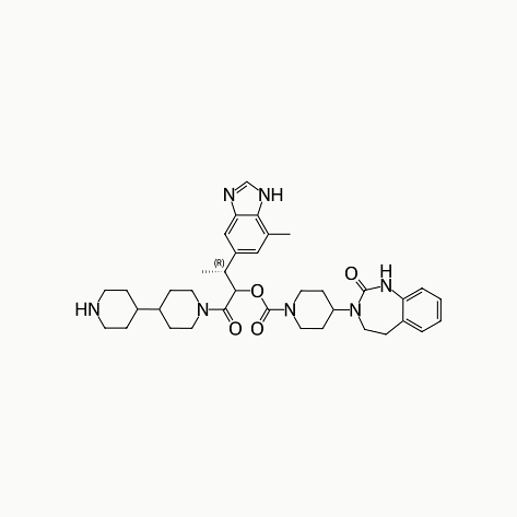 Cc1cc([C@@H](C)C(OC(=O)N2CCC(N3CCc4ccccc4NC3=O)CC2)C(=O)N2CCC(C3CCNCC3)CC2)cc2nc[nH]c12